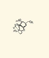 COC(=O)[C@H]1c2c(oc3cc(CO)cc(O)c3c2=O)C=C[C@H]1O